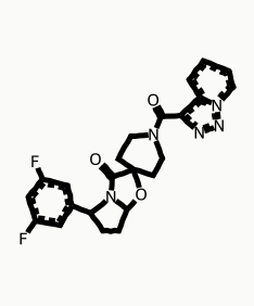 O=C(c1nnn2ccccc12)N1CCC2(CC1)OC1CCC(c3cc(F)cc(F)c3)N1C2=O